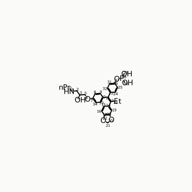 CCCNCC(O)COc1ccc(/C(=C(/CC)c2ccc3c(c2)OCO3)c2ccc(OP(O)O)cc2)cc1